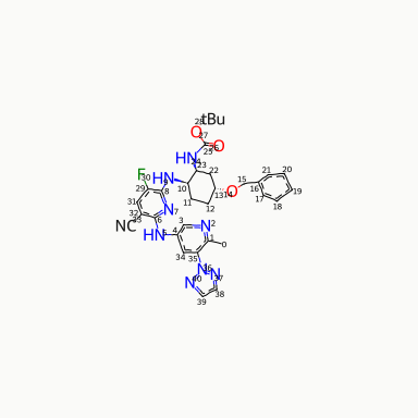 Cc1ncc(Nc2nc(N[C@@H]3CC[C@@H](OCc4ccccc4)C[C@@H]3NC(=O)OC(C)(C)C)c(F)cc2C#N)cc1-n1nccn1